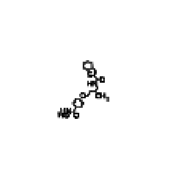 CC(CCOc1ccc(C(=O)NO)cc1)CNC(=O)c1cc2ccccc2s1